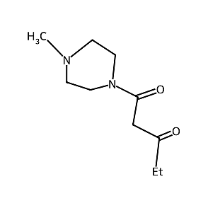 CCC(=O)CC(=O)N1CCN(C)CC1